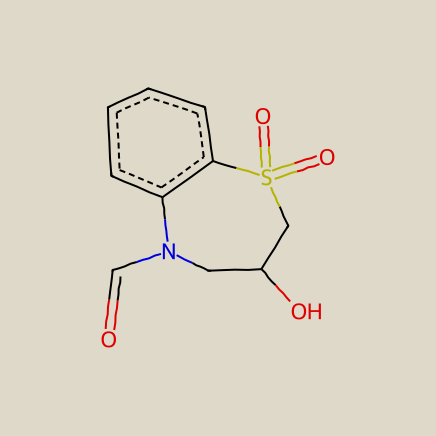 O=CN1CC(O)CS(=O)(=O)c2ccccc21